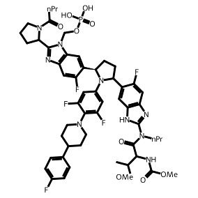 CCCC(=O)N1CCCC1c1nc2cc(F)c([C@H]3CCC(c4cc5[nH]c(N(CCC)C(=O)C(NC(=O)OC)C(C)OC)nc5cc4F)N3c3cc(F)c(N4CCC(c5ccc(F)cc5)CC4)c(F)c3)cc2n1COP(=O)(O)O